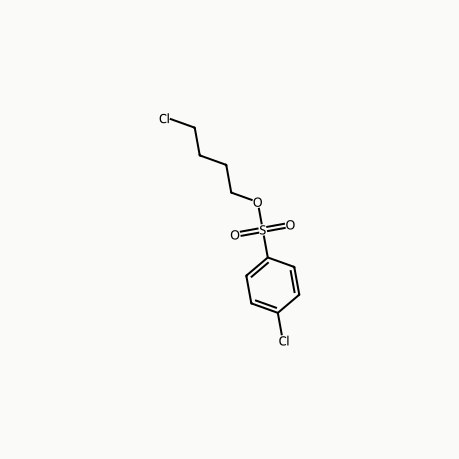 O=S(=O)(OCCCCCl)c1ccc(Cl)cc1